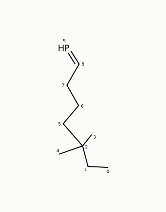 CCC(C)(C)CCCC=P